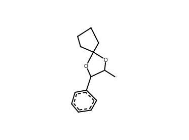 [CH2]C1OC2(CCCC2)OC1c1ccccc1